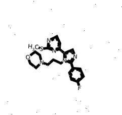 CSc1nccc(-c2cnc(-c3ccc(F)cc3)n2CCCN2CCOCC2)n1